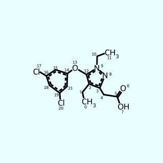 CCc1c(CC(=O)O)nn(CC)c1Oc1cc(Cl)cc(Cl)c1